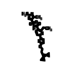 CCc1nc(-n2ccc(OCCC3C4(CC4)C34CC4)n2)ccc1C(=O)NS(=O)(=O)c1cn(C)nc1C